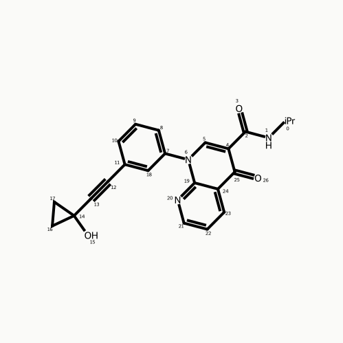 CC(C)NC(=O)c1cn(-c2cccc(C#CC3(O)CC3)c2)c2ncccc2c1=O